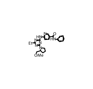 CCc1nc(Nc2ccc(C(=O)Nc3ccccc3)cn2)nc(N2CCCC2COC)n1